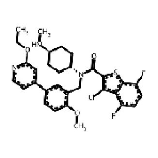 CCOc1cc(-c2ccc(OC)c(CN(C(=O)c3sc4c(F)ccc(F)c4c3Cl)[C@H]3CC[C@H](NC)CC3)c2)ccn1